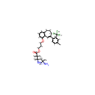 Cc1ccc(C2=Cc3c(cccc3OCCCOC(=O)C(C)(C)C(C)(N)CC(C)(C)N)CCC2)c(C(F)(F)F)c1